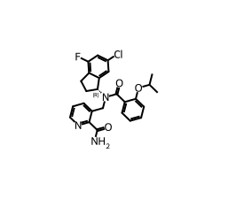 CC(C)Oc1ccccc1C(=O)N(Cc1cccnc1C(N)=O)[C@@H]1CCc2c(F)cc(Cl)cc21